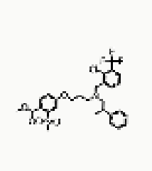 COC(=O)c1ccc(OCCCN(Cc2cccc(C(F)(F)F)c2Cl)CC(C)c2ccccc2)cc1S(C)(=O)=O